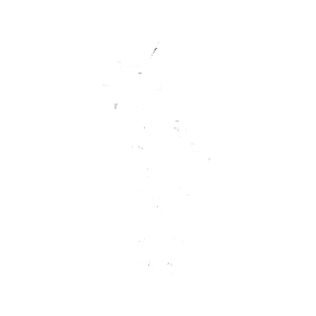 Cc1[nH]ncc1-c1cc2nc(C3C[C@H](C)CCN3)[nH]c(=O)c2s1